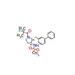 CC(C)(F)C(=O)N1CC[C@@H](NS(C)(=O)=O)[C@H]1Cc1cccc(-c2ccccc2)c1